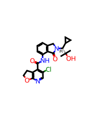 CC(C)(O)[C@@H](C1CC1)N1Cc2cccc(NC(=O)c3c(Cl)cnc4c3CCO4)c2C1=O